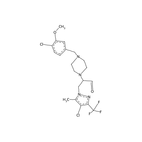 COc1cc(CN2CCN(C(C=O)Cn3nc(C(F)(F)F)c(Cl)c3C)CC2)ccc1Cl